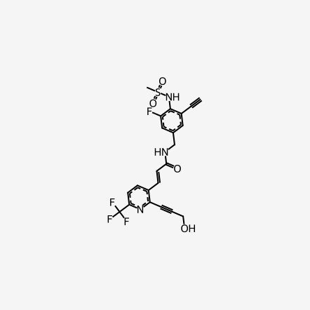 C#Cc1cc(CNC(=O)/C=C/c2ccc(C(F)(F)F)nc2C#CCO)cc(F)c1NS(C)(=O)=O